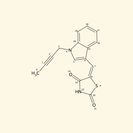 CC#CCn1cc(C=C2SC(=O)NC2=O)c2ccccc21